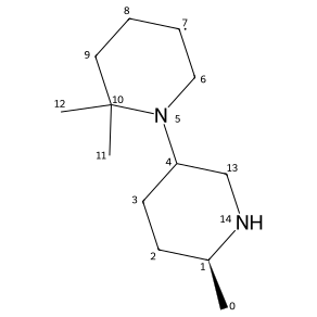 C[C@H]1CCC(N2C[CH]CCC2(C)C)CN1